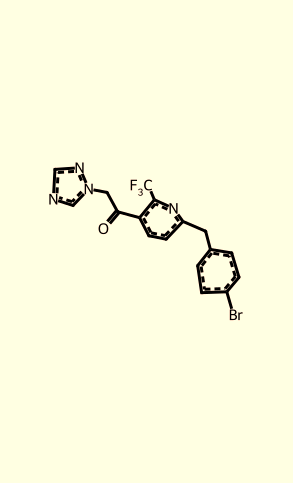 O=C(Cn1cncn1)c1ccc(Cc2ccc(Br)cc2)nc1C(F)(F)F